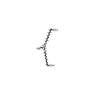 CCCCCCCC/C=C\CCCCCCCCOCC[N+](C)(CCO)CCOCCCCCCCC/C=C\CCCCCCCC